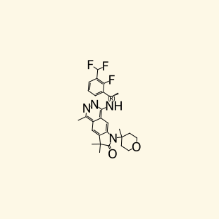 Cc1nnc(N[C@H](C)c2cccc(C(F)F)c2F)c2cc3c(cc12)C(C)(C)C(=O)N3C1(C)CCOCC1